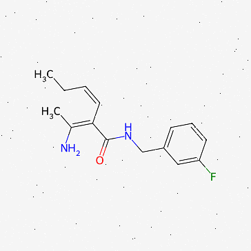 CC/C=C\C(C(=O)NCc1cccc(F)c1)=C(/C)N